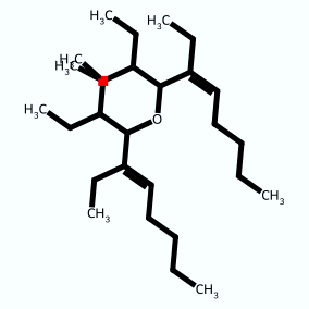 CCCCC=C(CC)C(OC(C(=CCCCC)CC)C(CC)CC)C(CC)CC